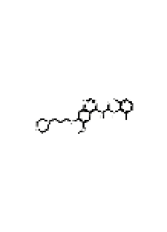 COc1cc2c(NC(=S)Nc3c(C)cccc3C)ncnc2cc1OCCCN1CCOCC1